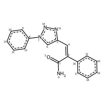 NC(=O)C(=Cc1cn(-c2ccccc2)nn1)c1ccccc1